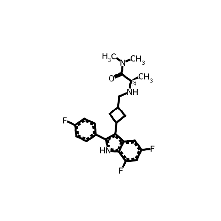 C[C@@H](NCC1CC(c2c(-c3ccc(F)cc3)[nH]c3c(F)cc(F)cc23)C1)C(=O)N(C)C